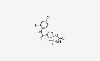 CN(C(=O)N1CCC2(C1)OC(=O)NC2(C)C)c1ccc(Cl)cc1F